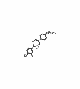 CCCCCC1CCC([C@H]2CO[C@H](c3ccc(CC)c(F)c3)OC2)CC1